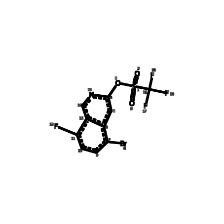 O=S(=O)(Oc1cc2c(Br)ccc(F)c2cn1)C(F)(F)F